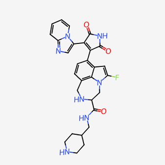 O=C1NC(=O)C(c2cnc3ccccn23)=C1c1ccc2c3c1cc(F)n3CC(C(=O)NCC1CCNCC1)NC2